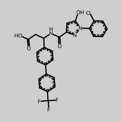 O=C(O)CC(NC(=O)c1cc(O)n(-c2ccccc2Cl)n1)c1ccc(-c2ccc(C(F)(F)F)cc2)cc1